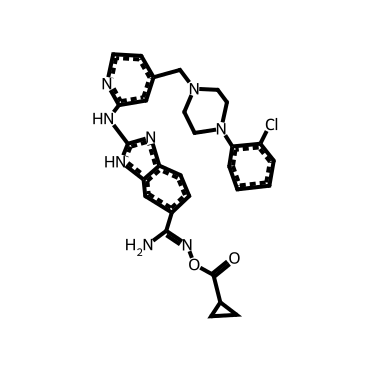 NC(=NOC(=O)C1CC1)c1ccc2nc(Nc3cc(CN4CCN(c5ccccc5Cl)CC4)ccn3)[nH]c2c1